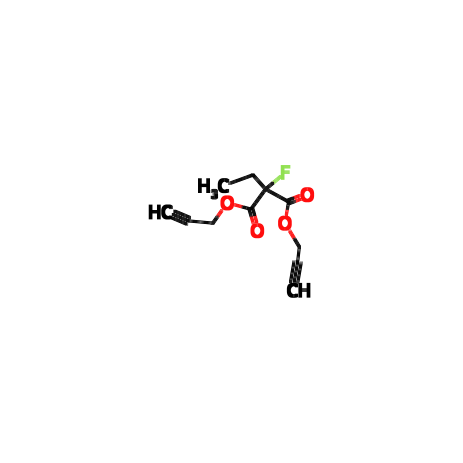 C#CCOC(=O)C(F)(CC)C(=O)OCC#C